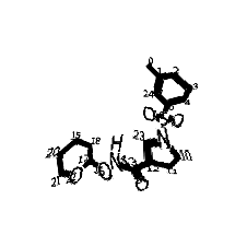 Cc1cccc(S(=O)(=O)N2CC=C(C(=O)NOC3CCCCO3)C2)c1